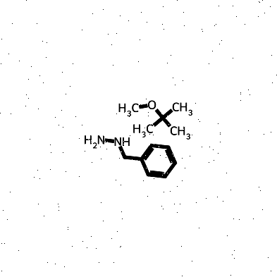 COC(C)(C)C.NNCc1ccccc1